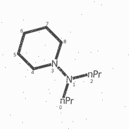 CCCN(CCC)N1CCCCC1